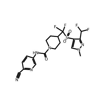 Cn1cc(S(=O)(=O)C(F)(F)C2CCN(C(=O)Nc3ccc(C#N)nc3)CC2)c(C(F)F)n1